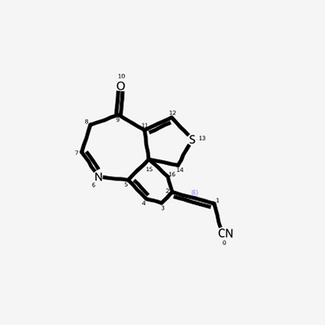 N#C/C=C1\CC=C2N=CCC(=O)C3=CSCC23C1